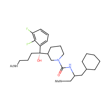 CNCC(CC1CCCCC1)NC(=O)N1CCCC([C@@](O)(CCCNC(C)=O)c2cccc(F)c2F)C1